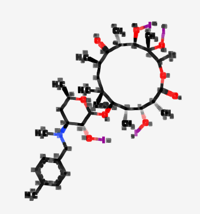 CCC1OC(=O)[C@H](C)[C@H](OI)[C@H](C)[C@@H](OC2O[C@H](C)C[C@H](N(C)Cc3ccc(C)cc3)[C@H]2OI)[C@@](C)(OC)C[C@@H](C)C(=O)[C@H](C)[C@@H](OI)[C@]1(C)OI